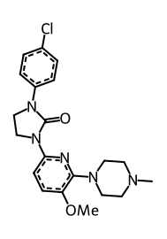 COc1ccc(N2CCN(c3ccc(Cl)cc3)C2=O)nc1N1CCN(C)CC1